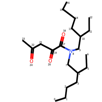 CCCCC(CC)CN(CC(CC)CCCC)C(=O)C(=O)CC(C)=O